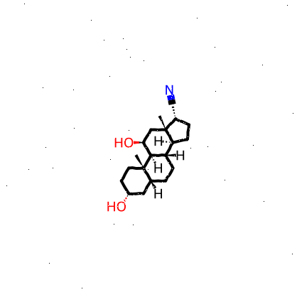 C[C@]12CC[C@@H](O)C[C@H]1CC[C@@H]1[C@@H]2[C@@H](O)C[C@]2(C)[C@H](C#N)CC[C@@H]12